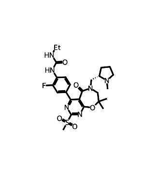 CCNC(=O)Nc1ccc(-c2nc(S(C)(=O)=O)nc3c2C(=O)N(C[C@@H]2CCCN2C)CC(C)(C)O3)cc1F